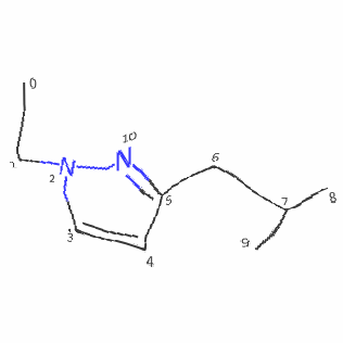 CCn1[c]cc(CC(C)C)n1